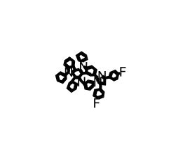 Fc1ccc(-c2cc(-c3ccc(F)cc3)nc(-c3ccc4c(c3)c3c5c(c6ccccc6n5-c5ccccc5)c5c(c6ccccc6n5-c5ccccc5)c3n4-c3ccccc3)n2)cc1